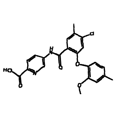 COc1cc(C)ccc1Oc1cc(Cl)c(C)cc1C(=O)Nc1ccc(C(=O)O)nc1